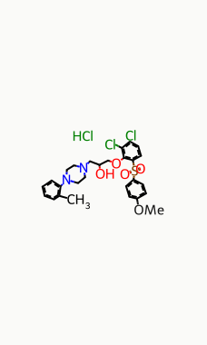 COc1ccc(S(=O)(=O)c2ccc(Cl)c(Cl)c2OCC(O)CN2CCN(c3ccccc3C)CC2)cc1.Cl